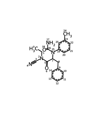 CCN(C#N)C(=O)C(Cc1ccccc1)N(C(N)=O)c1cccc(C)c1